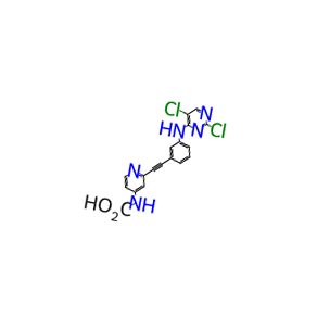 O=C(O)Nc1ccnc(C#Cc2cccc(Nc3nc(Cl)ncc3Cl)c2)c1